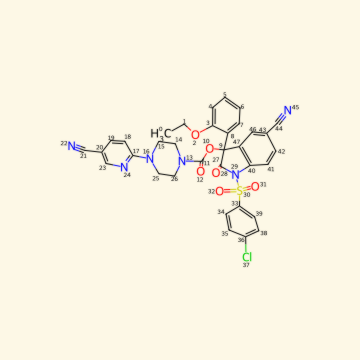 CCOc1ccccc1C1(OC(=O)N2CCN(c3ccc(C#N)cn3)CC2)C(=O)N(S(=O)(=O)c2ccc(Cl)cc2)c2ccc(C#N)cc21